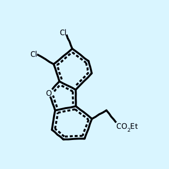 CCOC(=O)Cc1cccc2oc3c(Cl)c(Cl)ccc3c12